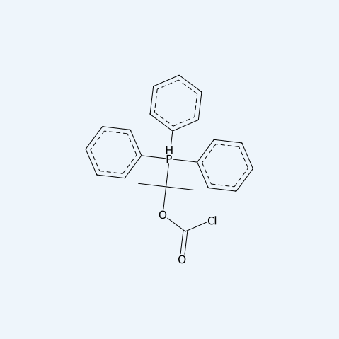 CC(C)(OC(=O)Cl)[PH](c1ccccc1)(c1ccccc1)c1ccccc1